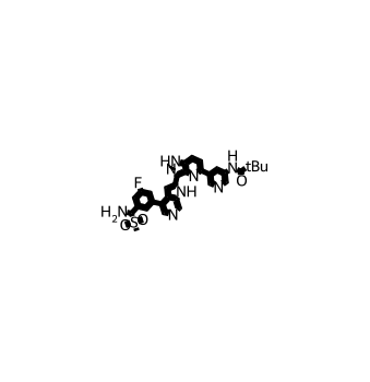 CC(C)(C)C(=O)Nc1cncc(-c2ccc3[nH]nc(-c4cc5c(-c6cc(F)cc(C(N)S(C)(=O)=O)c6)cncc5[nH]4)c3n2)c1